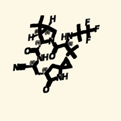 CC(C)(C)[C@H](NC(C)(C)C(F)(F)F)C(=O)N1C[C@H]2[C@@H]([C@H]1C(=O)N[C@H](C#N)C[C@@H]1CC3(CC3)NC1=O)C2(C)C